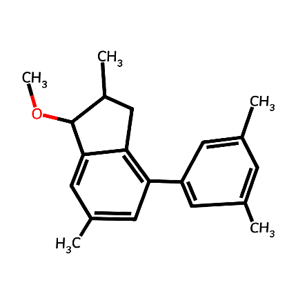 COC1c2cc(C)cc(-c3cc(C)cc(C)c3)c2CC1C